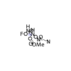 COC(=O)Cc1cccc(/C(Nc2ccc(N(C)C(=O)CCCCN(C)C)cc2)=C2/C(=O)Nc3cc(F)ccc32)c1